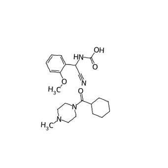 CN1CCN(C(=O)C2CCCCC2)CC1.COc1ccccc1C(C#N)NC(=O)O